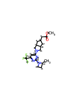 COC(=O)CC1CC2CN(c3cc(C(F)(F)F)nc(N4CC[C@@H]4C)n3)CC2C1